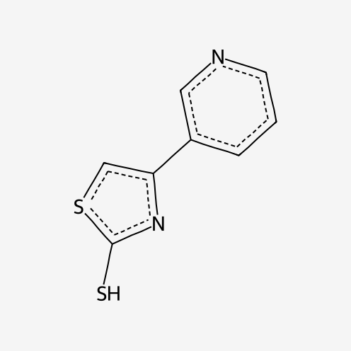 Sc1nc(-c2cccnc2)cs1